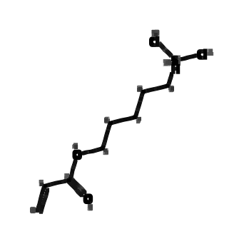 C=CC(=O)OCCCCC[SiH](Cl)Cl